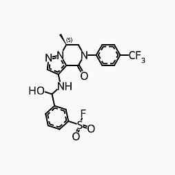 C[C@H]1CN(c2ccc(C(F)(F)F)cc2)C(=O)c2c(NC(O)c3cccc(S(=O)(=O)F)c3)cnn21